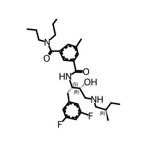 CCCN(CCC)C(=O)c1cc(C)cc(C(=O)N[C@@H](Cc2cc(F)cc(F)c2)[C@H](O)CNC[C@H](C)CC)c1